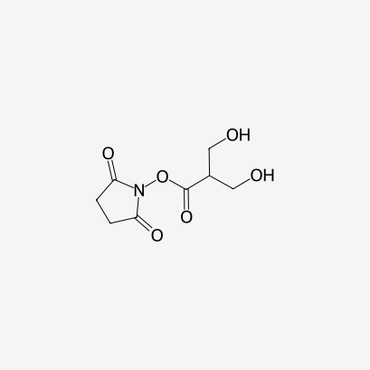 O=C(ON1C(=O)CCC1=O)C(CO)CO